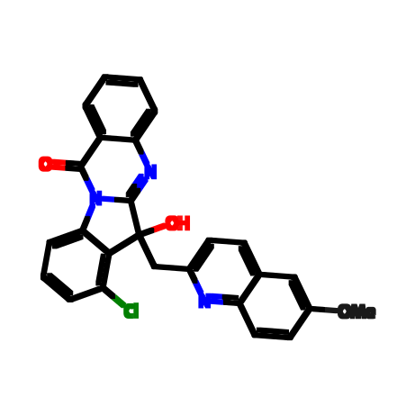 COc1ccc2nc(CC3(O)c4c(Cl)cccc4-n4c3nc3ccccc3c4=O)ccc2c1